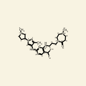 Cc1nn(C2CCN(C)C2)cc1Nc1ncc(C(F)F)c(NCCCN2CCN(C)CCC2=O)n1